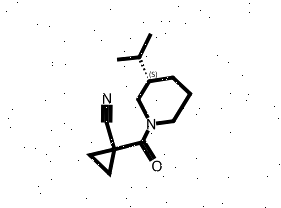 CC(C)[C@@H]1CCCN(C(=O)C2(C#N)CC2)C1